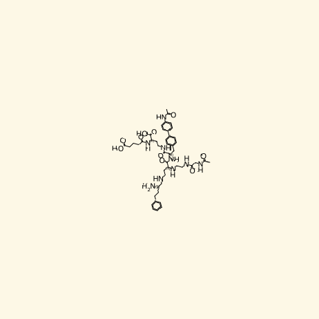 CC(=O)NCC(=O)NCCN[C@@H](CCNC[C@@H](N)CCc1ccccc1)C(=O)N[C@H](Cc1ccc(-c2ccc(NC(C)=O)cc2)cc1)C(=O)NCC[C@@H](NC(=O)CCCC(=O)O)C(=O)O